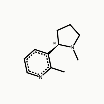 Cc1ncccc1[C@H]1CCCN1C